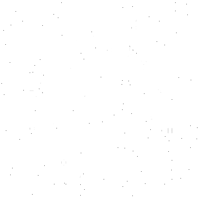 COc1ccc(C=CC(=O)O)cc1OC.Nc1cccc(CO[N+](=O)[O-])c1